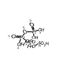 O.O=P(O)(O)OP(=O)(O)O.O=S(=O)(O)O